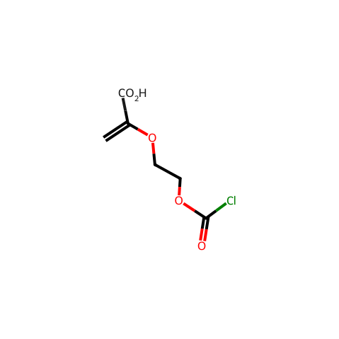 C=C(OCCOC(=O)Cl)C(=O)O